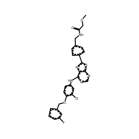 COCC(=O)NCc1ccc(-c2nc3c(Nc4ccc(OCc5cccc(F)c5)c(Cl)c4)ncnc3s2)cc1